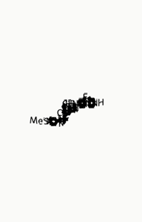 CSN1CCC(c2ncc(C)c(-c3cc4cnc(Nc5ccc(N6CCNCC6C)c(F)c5)nc4n(CC(F)(F)F)c3=O)n2)CC1